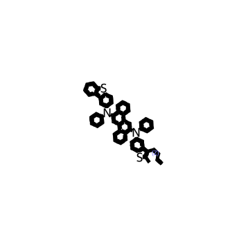 C=C/C=C\c1c(C)sc2ccc(N(c3ccccc3)c3cc4c5ccccc5c(N(c5ccccc5)c5ccc6sc7ccccc7c6c5)cc4c4ccccc34)cc12